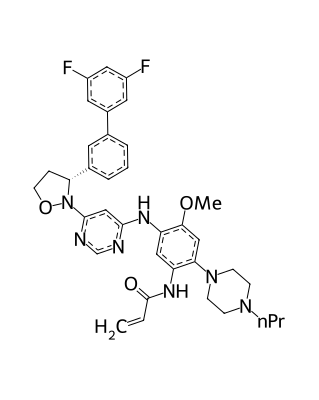 C=CC(=O)Nc1cc(Nc2cc(N3OCC[C@@H]3c3cccc(-c4cc(F)cc(F)c4)c3)ncn2)c(OC)cc1N1CCN(CCC)CC1